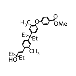 CCC(O)(/C=C/c1ccc(C(CC)(CC)c2ccc(Oc3ccc(C(=O)OC)cc3)c(C)c2)cc1C)CC